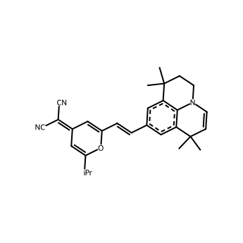 CC(C)C1=CC(=C(C#N)C#N)C=C(C=Cc2cc3c4c(c2)C(C)(C)CCN4C=CC3(C)C)O1